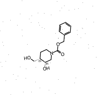 O=C(OCc1ccccc1)N1CC[C@@H](CO)[C@@H](O)C1